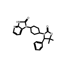 CC1(C)OC(=O)N(C2CCC(n3c(=O)[nH]c4ncccc43)CC2)C1c1ccccc1